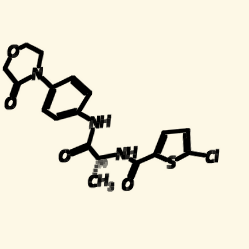 C[C@@H](NC(=O)c1ccc(Cl)s1)C(=O)Nc1ccc(N2CCOCC2=O)cc1